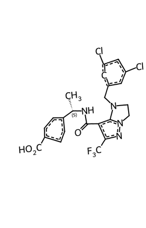 C[C@H](NC(=O)c1c(C(F)(F)F)nn2c1N(Cc1cc(Cl)cc(Cl)c1)CC2)c1ccc(C(=O)O)cc1